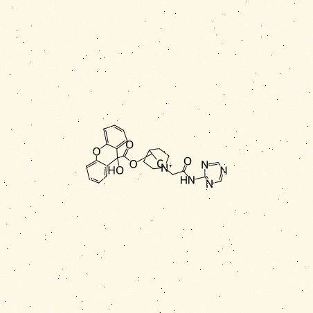 O=C(C[N+]12CCC(CC1)C(OC(=O)C1(O)c3ccccc3Oc3ccccc31)C2)Nc1ncncn1